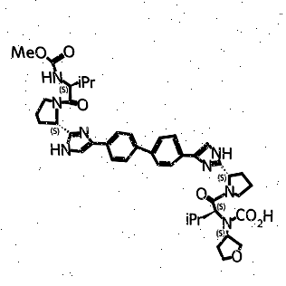 COC(=O)N[C@H](C(=O)N1CCC[C@H]1c1nc(-c2ccc(-c3ccc(-c4c[nH]c([C@@H]5CCCN5C(=O)[C@H](C(C)C)N(C(=O)O)[C@H]5CCOC5)n4)cc3)cc2)c[nH]1)C(C)C